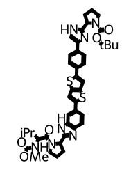 COC(=O)NC(C(=O)N1CCCC1c1nc2ccc(-c3cc4sc(-c5ccc(-c6c[nH]c(C7CCCN7C(=O)OC(C)(C)C)n6)cc5)cc4s3)cc2[nH]1)C(C)C